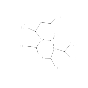 CCCC(C)N(C(C)C)P(Cl)N(C(C)C)C(C)C